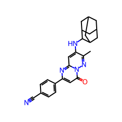 Cc1nn2c(=O)cc(-c3ccc(C#N)cc3)nc2cc1NC1C2CC3CC(C2)CC1C3